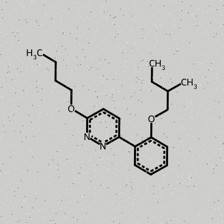 CCCCOc1ccc(-c2ccccc2OCC(C)CC)nn1